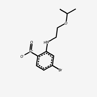 CC(C)OCCNc1cc(Br)ccc1[N+](=O)[O-]